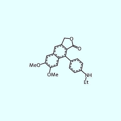 CCNc1ccc(-c2c3c(cc4cc(OC)c(OC)cc24)COC3=O)cc1